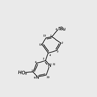 CC(C)(C)c1ccc(-c2cc(O)ncn2)cc1